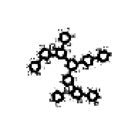 c1ccc(-c2ccc(-c3cc(-c4cc(-c5ccccc5)c5oc6ccc(-c7ccccc7)cc6c5c4)cc(-c4ccc5c(c4)c4cc(-c6ccccc6)ccc4n5-c4ccccc4)c3)cc2)cc1